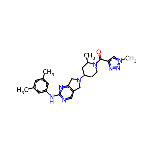 Cc1cc(C)cc(Nc2ncc3c(n2)CN([C@@H]2CCN(C(=O)c4cn(C)nn4)[C@H](C)C2)C3)c1